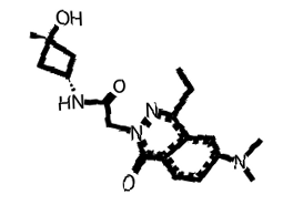 CCc1nn(CC(=O)N[C@H]2C[C@@](C)(O)C2)c(=O)c2ccc(N(C)C)cc12